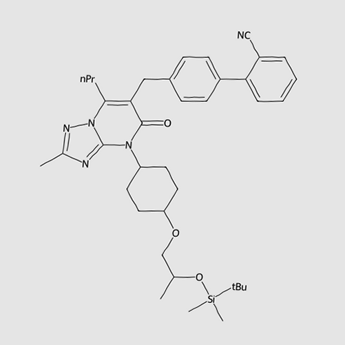 CCCc1c(Cc2ccc(-c3ccccc3C#N)cc2)c(=O)n(C2CCC(OCC(C)O[Si](C)(C)C(C)(C)C)CC2)c2nc(C)nn12